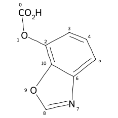 O=C(O)Oc1cccc2ncoc12